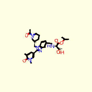 CC(=O)N1CCC[C@@H](Cn2c(-c3cc(C)c(=O)n(C)c3)nc3cc(CN[C@H](C(=O)OC(C)C)[C@H](C)O)ccc32)C1